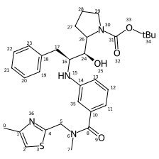 Cc1csc(CN(C)C(=O)c2cccc(N[C@@H](Cc3ccccc3)[C@H](O)C3CCCN3C(=O)OC(C)(C)C)c2)n1